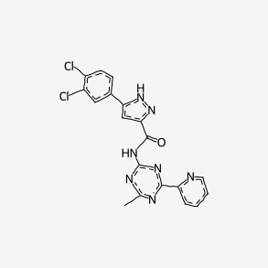 Cc1nc(NC(=O)c2cc(-c3ccc(Cl)c(Cl)c3)[nH]n2)nc(-c2ccccn2)n1